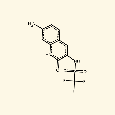 Nc1ccc2cc(NS(=O)(=O)C(F)(F)F)c(=O)[nH]c2c1